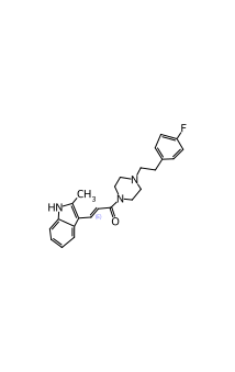 Cc1[nH]c2ccccc2c1/C=C/C(=O)N1CCN(CCc2ccc(F)cc2)CC1